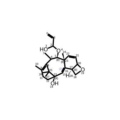 C=CC(O)O[C@@H]1C(C)C2=C(C)CC[C@@](O)(/C=C3/[C@@H]4COC4C=C[C@]31C)C2(C)C